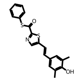 Cc1cc(/C=C/c2cnc(C(=O)Sc3ccccc3)s2)cc(C)c1O